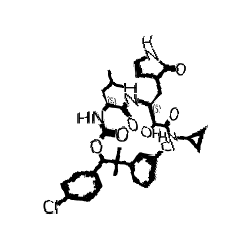 CC(C)C[C@H](NC(=O)OC(c1ccc(Cl)cc1)C(C)(C)c1cccc(Cl)c1)C(=O)N[C@@H](CC1CCNC1=O)C(O)C(=O)NC1CC1